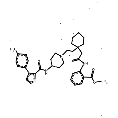 COC(=O)c1ccccc1NC(=O)CC1(CCN2CCC(NC(=O)c3occc3-c3ccc(C)cc3)CC2)CCCCC1